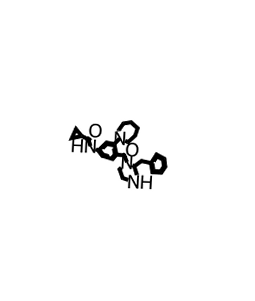 O=C(Nc1ccc(C(=O)N2CCNCC2Cc2ccccc2)c(N2CCCCCC2)c1)C1CC1